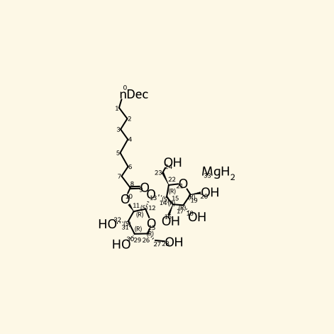 CCCCCCCCCCCCCCCCCC(=O)O[C@H]1[C@H](O[C@H]2[C@H](O)[C@@H](O)[C@H](O)O[C@@H]2CO)O[C@H](CO)[C@H](O)[C@@H]1O.[MgH2]